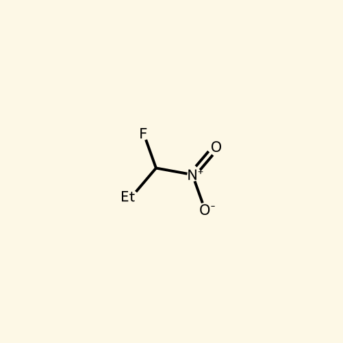 CCC(F)[N+](=O)[O-]